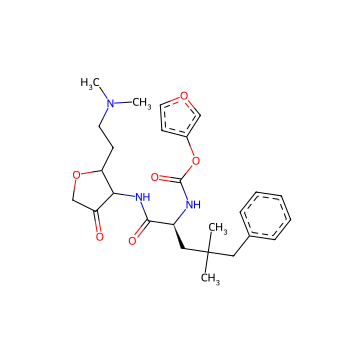 CN(C)CCC1OCC(=O)C1NC(=O)[C@H](CC(C)(C)Cc1ccccc1)NC(=O)Oc1ccoc1